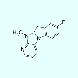 CN1c2ncccc2N2c3ccc(F)cc3CC12